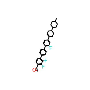 CC1CCC(C2CC=C(c3ccc(-c4ccc(-c5ccc(C6CO6)c(F)c5F)cc4)c(F)c3)CC2)CC1